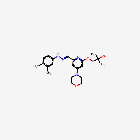 Cc1ccc(NN=Cc2cc(N3CCOCC3)cc(OCC(C)(C)O)n2)cc1C